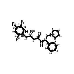 N[C@@H](CC(=O)N[C@@H](CN1CCCC1)c1ccccc1)Cc1cc(F)c(F)cc1F